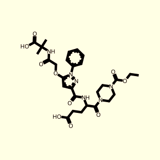 CCOC(=O)N1CCN(C(=O)C(CCC(=O)O)NC(=O)c2cc(OCC(=O)NC(C)(C)C(=O)O)n(-c3ccccc3)n2)CC1